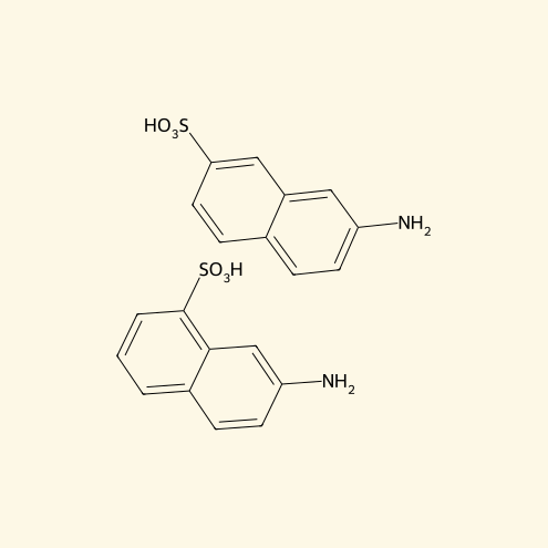 Nc1ccc2ccc(S(=O)(=O)O)cc2c1.Nc1ccc2cccc(S(=O)(=O)O)c2c1